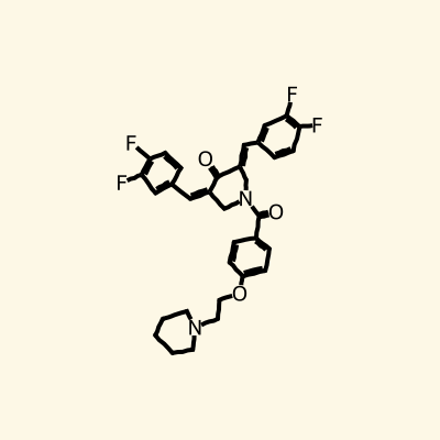 O=C1C(=Cc2ccc(F)c(F)c2)CN(C(=O)c2ccc(OCCN3CCCCC3)cc2)CC1=Cc1ccc(F)c(F)c1